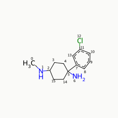 CNC1CCC(N)(c2cccc(Cl)c2)CC1